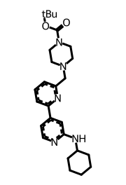 CC(C)(C)OC(=O)N1CCN(Cc2cccc(-c3ccnc(NC4CCCCC4)c3)n2)CC1